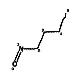 O=NCCCI